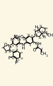 C=CC(=O)Nc1cc(Nc2cc(N3OCC[C@@H]3c3cccc(F)c3F)ncn2)c(OC)cc1N1C[C@H]2CCN(C)[C@H]2C1